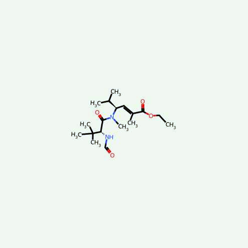 CCOC(=O)/C(C)=C/[C@H](C(C)C)N(C)C(=O)[C@H](NC=O)C(C)(C)C